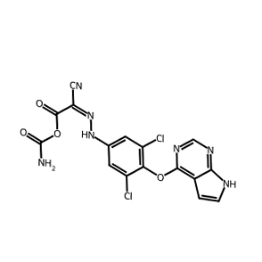 N#CC(=NNc1cc(Cl)c(Oc2ncnc3[nH]ccc23)c(Cl)c1)C(=O)OC(N)=O